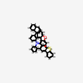 c1cc(-c2cccc3ccccc23)cc(N(c2ccccc2-c2ccc3sc4ccccc4c3c2)c2cccc3oc4ccccc4c23)c1